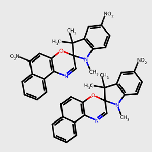 CN1c2ccc([N+](=O)[O-])cc2C(C)(C)C12C=Nc1c(cc([N+](=O)[O-])c3ccccc13)O2.CN1c2ccc([N+](=O)[O-])cc2C(C)(C)C12C=Nc1c(ccc3ccccc13)O2